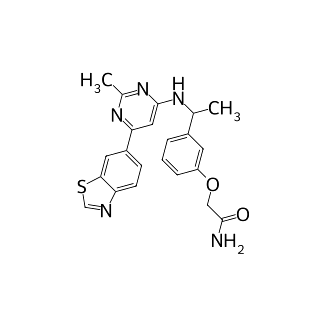 Cc1nc(NC(C)c2cccc(OCC(N)=O)c2)cc(-c2ccc3ncsc3c2)n1